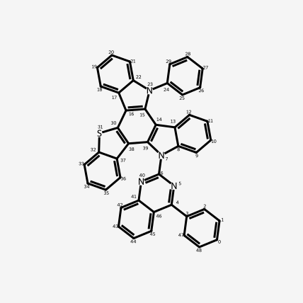 c1ccc(-c2nc(-n3c4ccccc4c4c5c(c6ccccc6n5-c5ccccc5)c5sc6ccccc6c5c43)nc3ccccc23)cc1